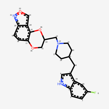 Fc1ccc2[nH]cc(CC3CCN(CC4COc5ccc6nocc6c5O4)CC3)c2c1